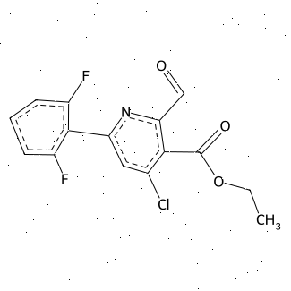 CCOC(=O)c1c(Cl)cc(-c2c(F)cccc2F)nc1C=O